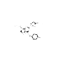 Cc1ccn(-c2nc(Nc3ccc(F)cc3)c3ncn(C)c3n2)n1